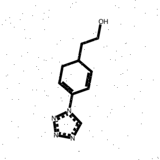 OCCC1C=CC(n2cnnn2)=CC1